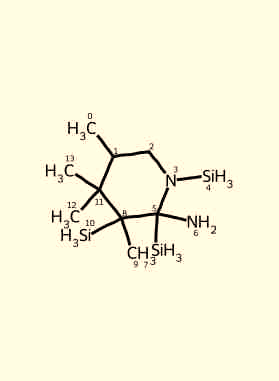 CC1CN([SiH3])C(N)([SiH3])C(C)([SiH3])C1(C)C